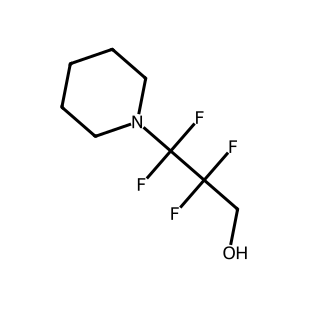 OCC(F)(F)C(F)(F)N1CCCCC1